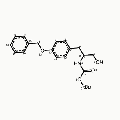 CC(C)(C)OC(=O)N[C@H](CO)Cc1ccc(OCc2ccccc2)cc1